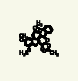 COc1ccc(CN2C(=O)C(OC(C)=O)OC(c3ccccc3OC)c3cc(Cl)ccc32)c(OC)c1